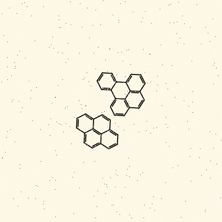 c1cc2ccc3cccc4ccc(c1)c2c34.c1ccc2c(c1)c1cccc3ccc4cccc2c4c31